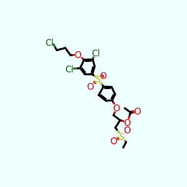 CCS(=O)(=O)CC(COc1ccc(S(=O)(=O)c2cc(Cl)c(OCCCCl)c(Cl)c2)cc1)OC(C)=O